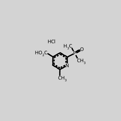 Cc1cc(C(=O)O)cc(P(C)(C)=O)n1.Cl